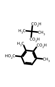 CC(C)(C(=O)O)C(=O)O.Cc1ccc(C(=O)O)c(C)c1C(=O)O